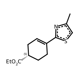 CCOC(=O)[C@@H]1CC=C(c2nc(C)cs2)CC1